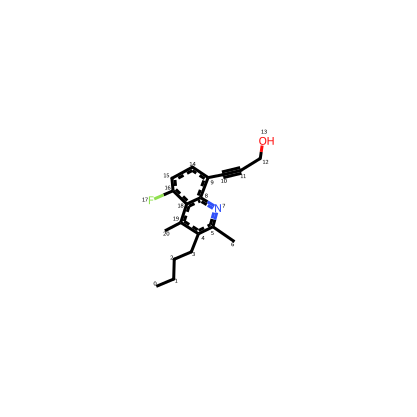 CCCCc1c(C)nc2c(C#CCO)ccc(F)c2c1C